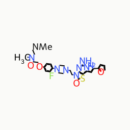 CNCCN(C)C(=O)COc1ccc(N2CCN(CCn3c(=O)sc4c3nc(N)n3nc(-c5ccco5)cc43)CC2)c(F)c1